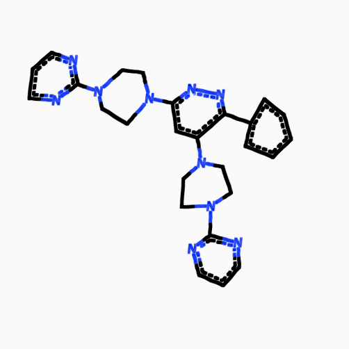 c1ccc(-c2nnc(N3CCN(c4ncccn4)CC3)cc2N2CCN(c3ncccn3)CC2)cc1